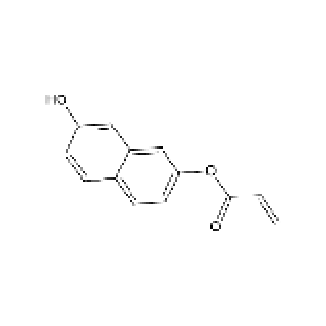 C=CC(=O)Oc1ccc2ccc(O)cc2c1